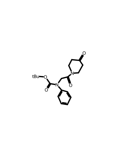 CC(C)(C)OC(=O)N(CC(=O)N1CCC(=O)CC1)c1ccccc1